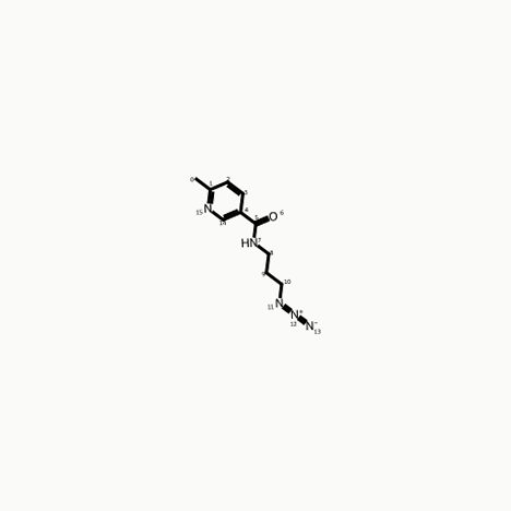 Cc1ccc(C(=O)NCCCN=[N+]=[N-])cn1